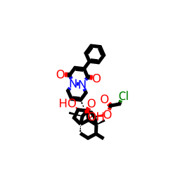 CC1CC[C@@]23C[C@H](O)C(=O)[C@@]2(O)[C@]1(C)[C@H](OC(=O)CCl)C[C@@H](C1=CCn2c(=O)cc(-c4ccccc4)c(=O)n2C1)[C@@H]3C